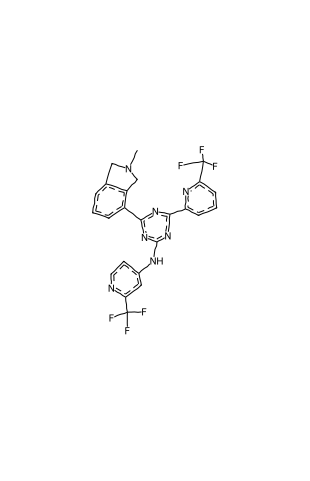 CN1Cc2cccc(-c3nc(Nc4ccnc(C(F)(F)F)c4)nc(-c4cccc(C(F)(F)F)n4)n3)c2C1